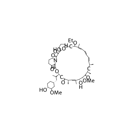 CCO[C@@H]1C[C@@H]2CC[C@@H](C)[C@@](O)(O2)C(=O)C(=O)N2CCCC[C@H]2C(=O)O[C@H](C(C)C[C@H]2CC[C@@H](O)[C@H](OC)C2)CC(=O)[C@H](C)/C=C(\C)[C@@H](O)[C@@H](OC)C(=O)[C@H](C)C[C@H](C)/C=C/C=C/C=C\1C